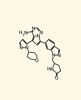 Nc1ncnn2c(-c3ccc4cnn(CC5CCC(=O)N5)c4c3)cc(-c3ccnn3C3CCOCC3)c12